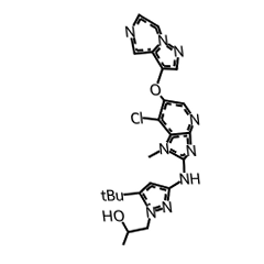 CC(O)Cn1nc(Nc2nc3ncc(Oc4cnn5ccncc45)c(Cl)c3n2C)cc1C(C)(C)C